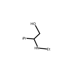 CCNC(CO)C(C)C